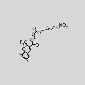 Cc1cc(C)c2c(c1)C=C(C(=O)OCOC(=O)OCCSCCO[N+](=O)[O-])C(C(F)(F)F)O2